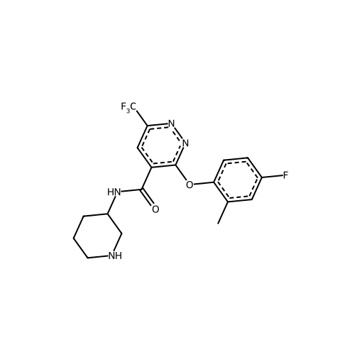 Cc1cc(F)ccc1Oc1nnc(C(F)(F)F)cc1C(=O)NC1CCCNC1